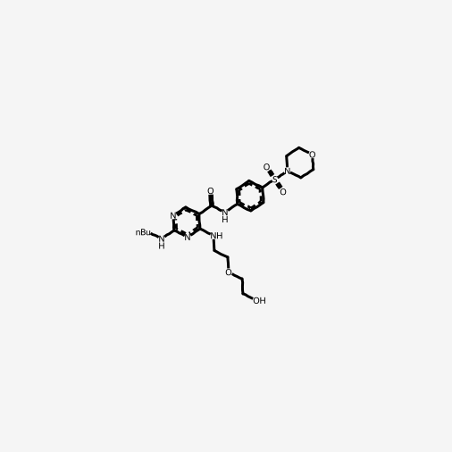 CCCCNc1ncc(C(=O)Nc2ccc(S(=O)(=O)N3CCOCC3)cc2)c(NCCOCCO)n1